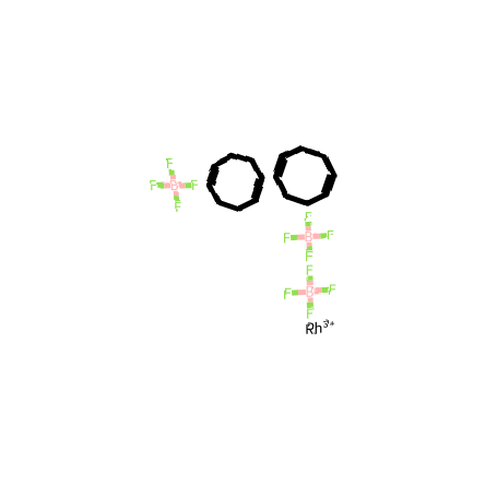 C1=C\CC/C=C\CC/1.C1=C\CC/C=C\CC/1.F[B-](F)(F)F.F[B-](F)(F)F.F[B-](F)(F)F.[Rh+3]